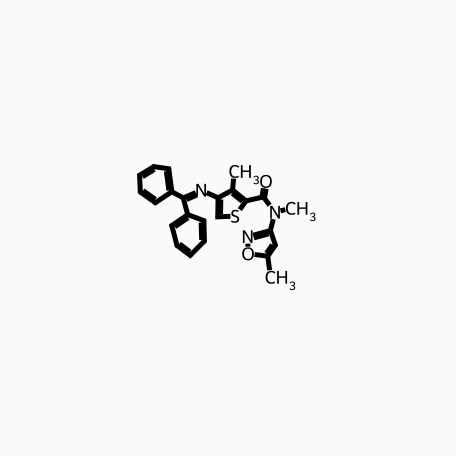 Cc1cc(N(C)C(=O)c2scc(N=C(c3ccccc3)c3ccccc3)c2C)no1